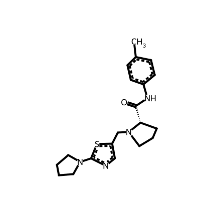 Cc1ccc(NC(=O)[C@@H]2CCCN2Cc2cnc(N3CCCC3)s2)cc1